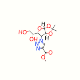 COC(=O)c1cn(C2[C@H]([C@H](O)CO)O[C@@H]3OC(C)(C)O[C@@H]23)nn1